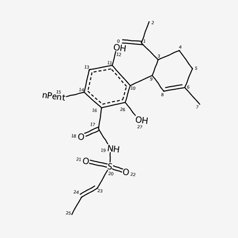 C=C(C)C1CCC(C)=CC1c1c(O)cc(CCCCC)c(C(=O)NS(=O)(=O)C=CC)c1O